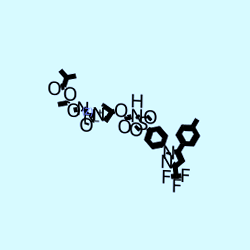 Cc1ccc(-c2cc(C(F)(F)F)nn2-c2ccc(S(=O)(=O)NC(=O)OC3CN(/[N+]([O-])=N/OC(C)OC(=O)C(C)C)C3)cc2)cc1